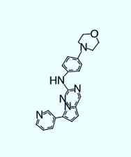 c1cncc(-c2ccc3cnc(Nc4ccc(N5CCOCC5)cc4)nn23)c1